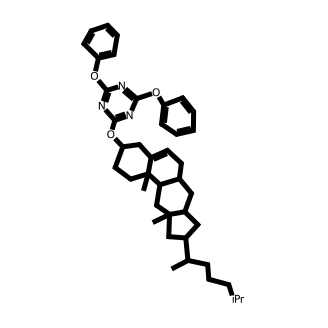 CC(C)CCCC(C)C1CC2CC3CC=C4CC(Oc5nc(Oc6ccccc6)nc(Oc6ccccc6)n5)CCC4(C)C3CC2(C)C1